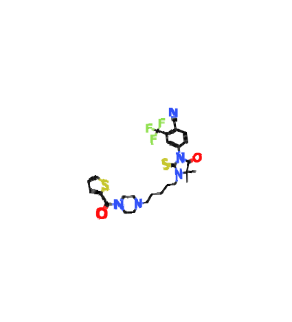 CC1(C)C(=O)N(c2ccc(C#N)c(C(F)(F)F)c2)C(=S)N1CCCCCN1CCN(C(=O)c2cccs2)CC1